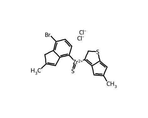 CC1=CC2=[C]([Zr+2](=[S])[c]3ccc(Br)c4c3C=C(C)C4)CSC2=C1.[Cl-].[Cl-]